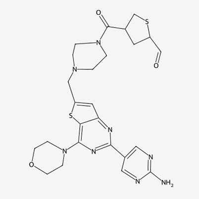 Nc1ncc(-c2nc(N3CCOCC3)c3sc(CN4CCN(C(=O)C5CSC(C=O)C5)CC4)cc3n2)cn1